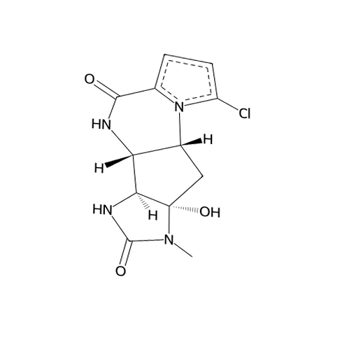 CN1C(=O)N[C@H]2[C@@H]3NC(=O)c4ccc(Cl)n4[C@@H]3C[C@]21O